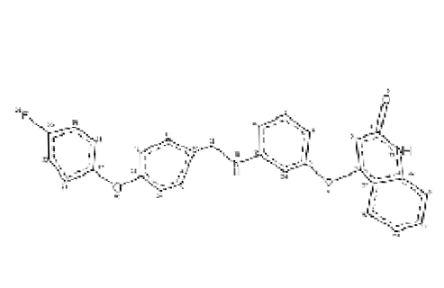 O=c1cc(Oc2cccc(NCc3ccc(Oc4ccc(F)cc4)cc3)c2)c2ccccc2[nH]1